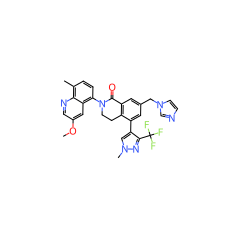 COc1cnc2c(C)ccc(N3CCc4c(cc(Cn5ccnc5)cc4-c4cn(C)nc4C(F)(F)F)C3=O)c2c1